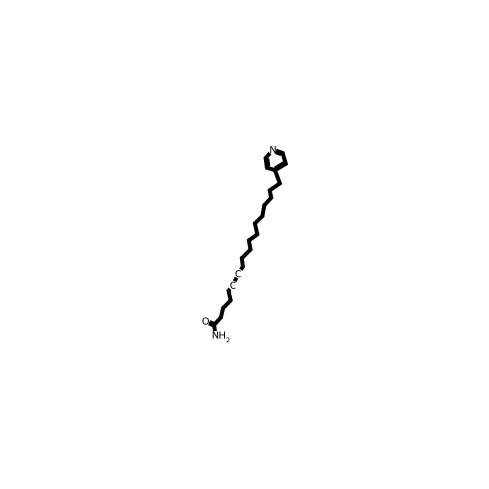 NC(=O)CCCCCCCCCCCCCCCCCc1ccncc1